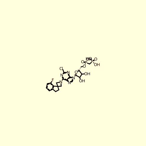 O=P(O)(O)CP(=O)(O)OC[C@H]1O[C@@H](n2cnc3c(N4CC5(CCc6cccc(F)c65)C4)nc(Cl)nc32)C(O)C1O